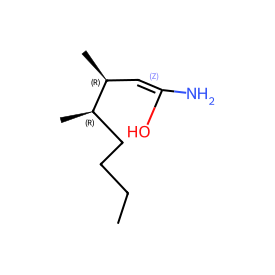 CCCC[C@@H](C)[C@@H](C)/C=C(/N)O